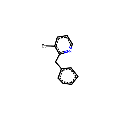 CCc1cccnc1Cc1ccccc1